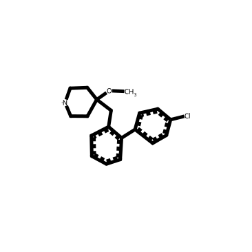 COC1(Cc2ccccc2-c2ccc(Cl)cc2)CC[N]CC1